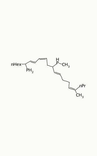 CCCCCCC(P)/C=C/C=C\CC(/C=C/CC/C=C(/C)CCC)PC